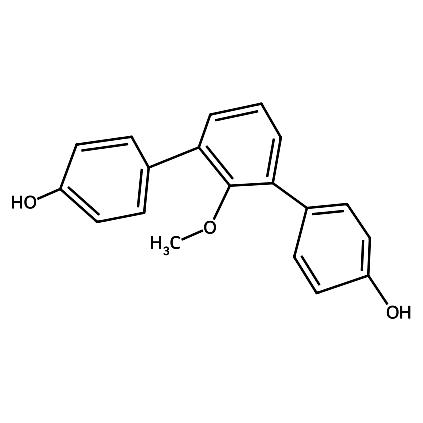 COc1c(-c2ccc(O)cc2)cccc1-c1ccc(O)cc1